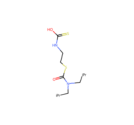 CC(C)CN(CC(C)C)C(=O)SCCNC(O)=S